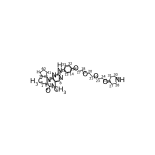 CC[C@@H]1C(=O)N(C)c2cnc(Nc3ccc(OCCOCCOCCOC4CCNCC4)cc3)nc2N1C1CCCC1